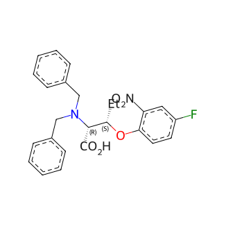 CC[C@H](Oc1ccc(F)cc1[N+](=O)[O-])[C@H](C(=O)O)N(Cc1ccccc1)Cc1ccccc1